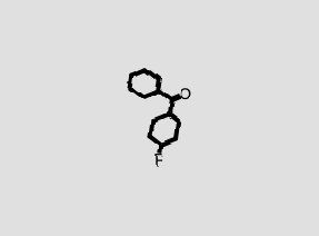 O=C(C1CCCCC1)C1CCC(F)CC1